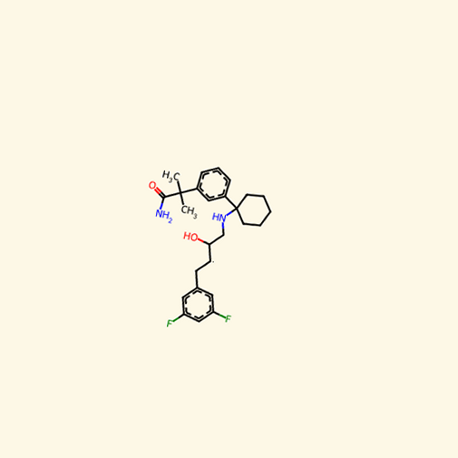 CC(C)(C(N)=O)c1cccc(C2(NCC(O)[CH]Cc3cc(F)cc(F)c3)CCCCC2)c1